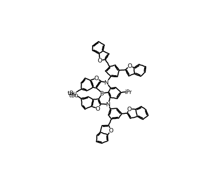 CC(C)c1cc2c3c(c1)N(c1cc(-c4cc5ccccc5o4)cc(-c4cc5ccccc5o4)c1)c1oc4ccc(C(C)(C)C)cc4c1B3c1c(oc3ccc(C(C)(C)C)cc13)N2c1cc(-c2cc3ccccc3o2)cc(-c2cc3ccccc3o2)c1